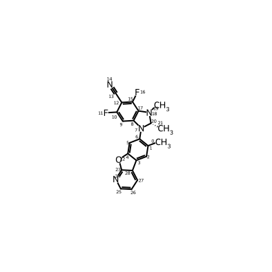 Cc1cc2c(cc1N1c3cc(F)c(C#N)c(F)c3N(C)[C@@H]1C)oc1ncccc12